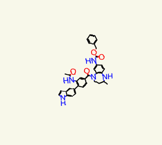 CC(=O)Nc1cc(C(=O)N2CCC(C)Nc3ccc(NC(=O)OCc4ccccc4)cc32)ccc1-c1ccc2[nH]ccc2c1